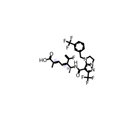 C=C(F)/C(=C\C=C(/C)C(=O)O)[C@H](C)NC(=O)c1c(C(F)(F)F)nn2c1N(Cc1cccc(C(F)(F)F)c1)CC2